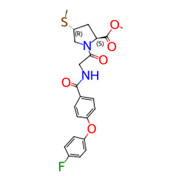 COC(=O)[C@@H]1C[C@@H](SC)CN1C(=O)CNC(=O)c1ccc(Oc2ccc(F)cc2)cc1